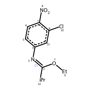 CCO/C(=N\c1ccc([N+](=O)[O-])c(Cl)c1)C(C)C